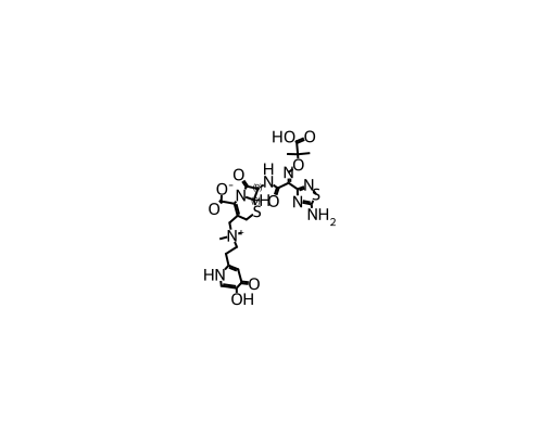 CC(C)(ON=C(C(=O)N[C@@H]1C(=O)N2C(C(=O)[O-])=C(C[N+](C)(C)CCc3cc(=O)c(O)c[nH]3)CS[C@@H]12)c1nsc(N)n1)C(=O)O